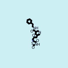 O=C1NC(=O)/C(=C\c2cc3cncc(C(=O)NCCc4ccccc4)c3o2)S1